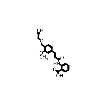 C#CCOCc1ccc(C=CC(=O)Nc2ccccc2C(=O)O)cc1OC